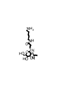 CC(=O)N[C@@H]1[C@@H](O)[C@@H](O)[C@@H](CO)O[C@@H]1SC=CC(=O)NCCCCCN